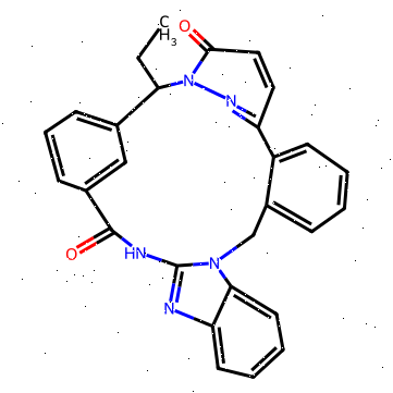 CCC1c2cccc(c2)C(=O)Nc2nc3ccccc3n2Cc2ccccc2-c2ccc(=O)n1n2